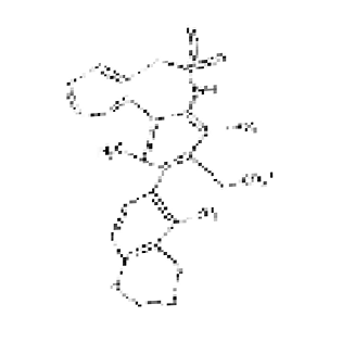 Cc1c(-c2c(C)c3c(c(C)c2CC(=O)O)NS(=O)(=O)Cc2ccccc2-3)ccc2c1CCCO2